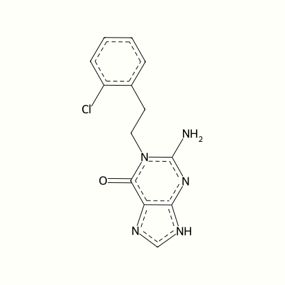 Nc1nc2[nH]cnc2c(=O)n1CCc1ccccc1Cl